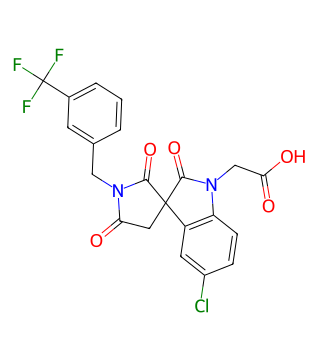 O=C(O)CN1C(=O)C2(CC(=O)N(Cc3cccc(C(F)(F)F)c3)C2=O)c2cc(Cl)ccc21